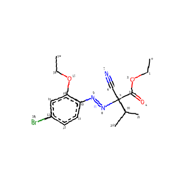 CCOC(=O)C(C#N)(/N=N/c1ccc(Br)cc1OCC)C(C)C